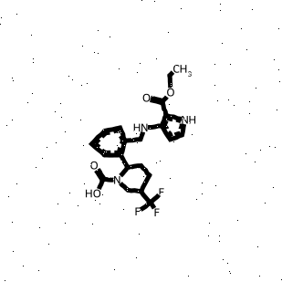 CCOC(=O)c1[nH]ccc1NCc1ccccc1C1CCC(C(F)(F)F)CN1C(=O)O